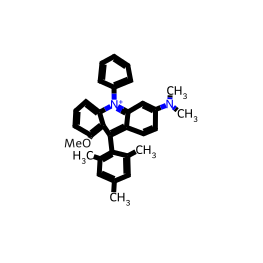 COc1cccc2c1c(-c1c(C)cc(C)cc1C)c1ccc(N(C)C)cc1[n+]2-c1ccccc1